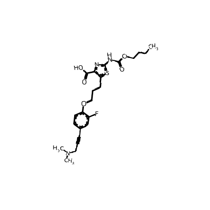 CCCCOC(=O)Nc1nc(C(=O)O)c(CCCOc2ccc(C#CCN(C)C)cc2F)s1